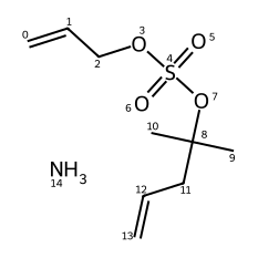 C=CCOS(=O)(=O)OC(C)(C)CC=C.N